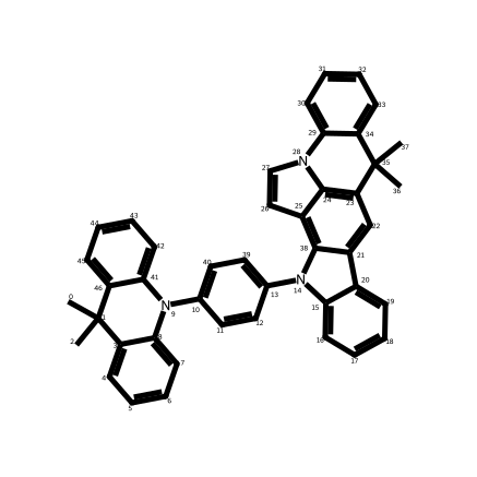 CC1(C)c2ccccc2N(c2ccc(-n3c4ccccc4c4cc5c6c(ccn6-c6ccccc6C5(C)C)c43)cc2)c2ccccc21